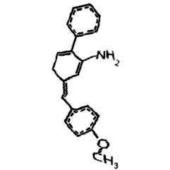 COc1ccc(C=C2C=C(N)C(c3ccccc3)=CC2)cc1